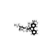 CN(C)CCOC(=O)C1(C)Oc2ccccc2-c2ccc(N)cc21